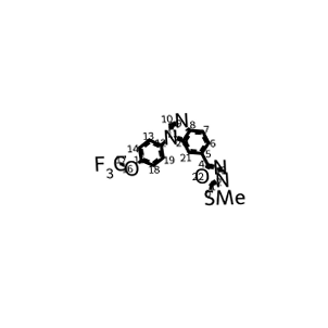 CSc1nnc(-c2ccc3ncn(-c4ccc(OC(F)(F)F)cc4)c3c2)o1